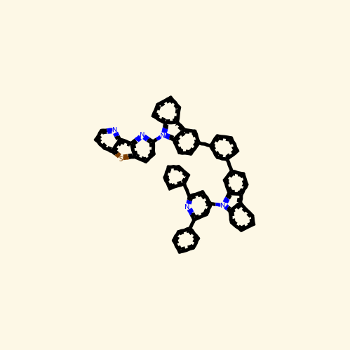 c1ccc(-c2cc(-n3c4ccccc4c4ccc(-c5cccc(-c6ccc7c(c6)c6ccccc6n7-c6ccc7sc8cccnc8c7n6)c5)cc43)cc(-c3ccccc3)n2)cc1